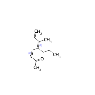 C=C/C(C)=C(\C=N/C(C)=O)CCC